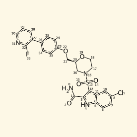 NC(=O)c1[nH]c2ccc(Cl)cc2c1S(=O)(=O)N1CCO[C@H](COc2ccc(-c3cccnc3F)cc2)C1